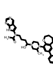 CC1CN(C(O)CCCN(C(N)=O)c2cc3cncnc3[nH]2)CCN1c1cc(-c2ccccc2)cc2c1OCCCC2